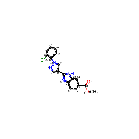 COC(=O)c1ccc2nc(-c3cnn(-c4ccccc4Cl)c3)[nH]c2c1